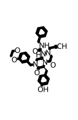 C#CCN1CC(=O)N2[C@@H](Cc3ccc(O)cc3)C(=O)N(Cc3ccc4c(c3)OCCO4)C[C@@H]2N1C(=O)NCc1ccccc1